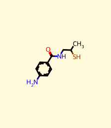 CC(S)CNC(=O)c1ccc(N)cc1